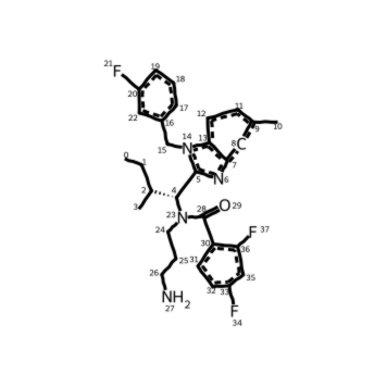 CCC(C)[C@H](c1nc2cc(C)ccc2n1Cc1cccc(F)c1)N(CCCN)C(=O)c1ccc(F)cc1F